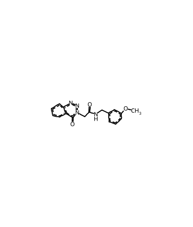 COc1cccc(CNC(=O)Cn2nnc3ccccc3c2=O)c1